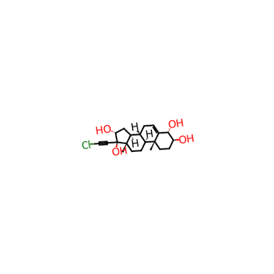 C[C@]12CC[C@H](O)[C@@H](O)C1=CC[C@@H]1[C@@H]2CC[C@@]2(C)[C@H]1C[C@@H](O)[C@@]2(O)C#CCl